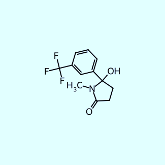 CN1C(=O)CCC1(O)c1cccc(C(F)(F)F)c1